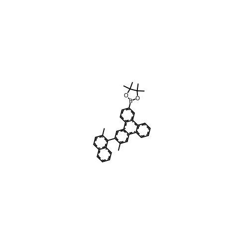 Cc1cc2c3ccccc3c3cc(B4OC(C)(C)C(C)(C)O4)ccc3c2cc1-c1c(C)ccc2ccccc12